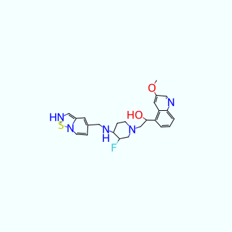 COc1cnc2cccc(C(O)CN3CCC(NCC4=CC5=CNSN5C=C4)C(F)C3)c2c1